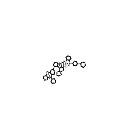 N=C(c1ccc(-c2ccccc2)cc1)c1ccccc1NCn1c2cccc(-c3ccc4c(c3)Oc3ccccc3N4c3ccccc3)c2c2c3ccccc3ccc21